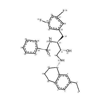 CCc1ccc2c(c1)[C@@H](NC[C@@H](O)[C@H](Cc1cc(F)cc(F)c1)NC(=O)c1ccccn1)CCC2